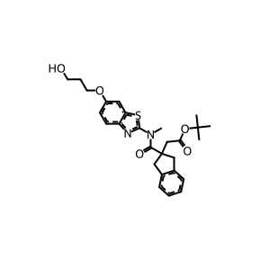 CN(C(=O)C1(CC(=O)OC(C)(C)C)Cc2ccccc2C1)c1nc2ccc(OCCCO)cc2s1